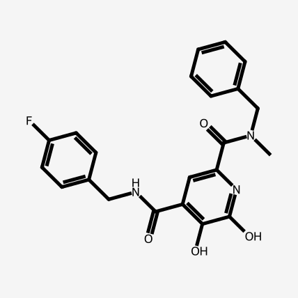 CN(Cc1ccccc1)C(=O)c1cc(C(=O)NCc2ccc(F)cc2)c(O)c(O)n1